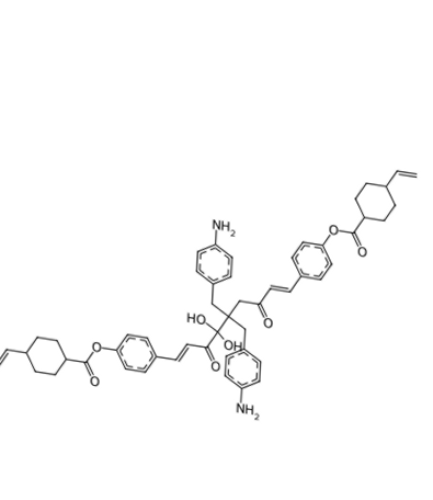 C=CC1CCC(C(=O)Oc2ccc(C=CC(=O)CC(Cc3ccc(N)cc3)(Cc3ccc(N)cc3)C(O)(O)C(=O)C=Cc3ccc(OC(=O)C4CCC(C=C)CC4)cc3)cc2)CC1